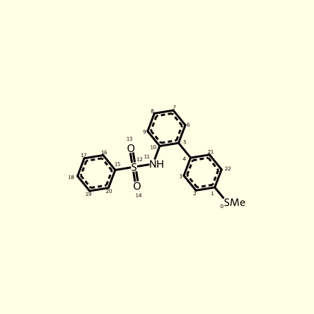 CSc1ccc(-c2ccccc2NS(=O)(=O)c2ccccc2)cc1